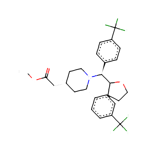 COC(=O)C[C@@H]1CCN([C@@H](c2ccc(C(F)(F)F)cc2)C2CCCO2)[C@H](c2ccc(C(F)(F)F)cc2)C1